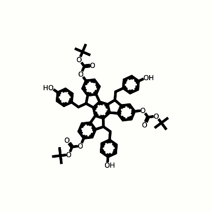 CC(C)(C)OC(=O)Oc1ccc2c(c1)C(Cc1ccc(O)cc1)c1c-2c2c(c3c1-c1ccc(OC(=O)OC(C)(C)C)cc1C3Cc1ccc(O)cc1)-c1ccc(OC(=O)OC(C)(C)C)cc1C2Cc1ccc(O)cc1